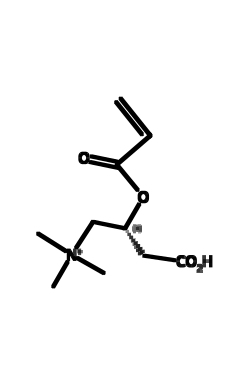 C=CC(=O)O[C@H](CC(=O)O)C[N+](C)(C)C